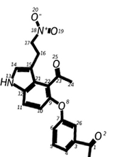 CC(=O)c1cccc(Oc2ccc3[nH]cc(CC[N+](=O)[O-])c3c2C(C)=O)c1